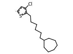 Clc1c[c]sc1CCCCCCC1CCCCCC1